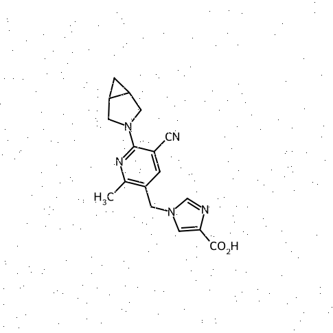 Cc1nc(N2CC3CC3C2)c(C#N)cc1Cn1cnc(C(=O)O)c1